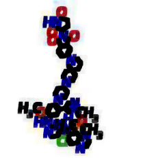 COc1cc(N2CCC(N3CCC4(CCCN(c5ccc6c(c5)C(=O)N(C5CCC(=O)NC5=O)C6=O)C4)CC3)CC2)c(-c2cnn(C)c2)cc1Nc1ncc(Cl)c(Nc2ccc3nccnc3c2P(C)(C)=O)n1